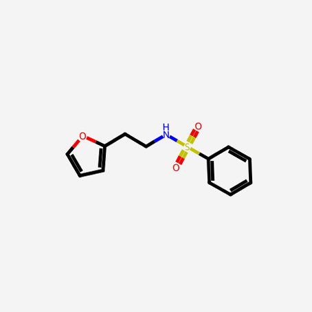 O=S(=O)(NCCc1ccco1)c1ccccc1